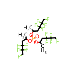 CC(CC(F)(F)C(F)(F)CF)OP(=O)(OC(C)CC(F)(F)C(F)(F)CF)OC(C)CC(F)(F)C(F)(F)CF